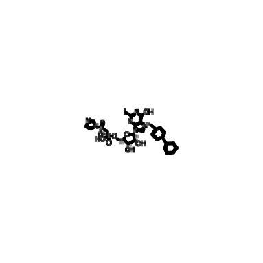 O=P(O)(CP(=O)(O)n1ccnc1)OC[C@H]1O[C@@H](n2c[n+](Cc3ccc(-c4ccccc4)cc3)c3c(O)nc(I)nc32)[C@H](O)[C@@H]1O